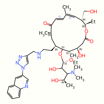 CCO[C@@H](O[C@H]1[C@@H](CCNCc2cn(-c3cnc4ccccc4c3)nn2)C[C@@H](C)C(=O)/C=C/C(C)=C/[C@H](CO)[C@@H](CC)OC(=O)C[C@@H](O)[C@@H]1C)C(O)C([C@@H](C)O)N(C)C